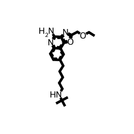 CCOCc1nc2c(N)nc3ccc(CCCCCNC(C)(C)C)cc3c2o1